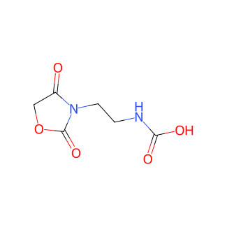 O=C(O)NCCN1C(=O)COC1=O